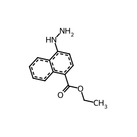 CCOC(=O)c1ccc(NN)c2ccccc12